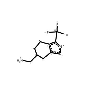 NCC1CCn2c(nnc2C(F)(F)F)C1